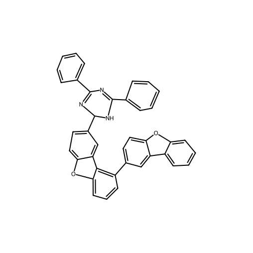 c1ccc(C2=NC(c3ccc4oc5cccc(-c6ccc7oc8ccccc8c7c6)c5c4c3)NC(c3ccccc3)=N2)cc1